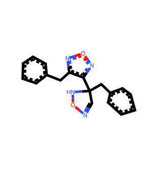 C1=NONC1(Cc1ccccc1)c1nonc1Cc1ccccc1